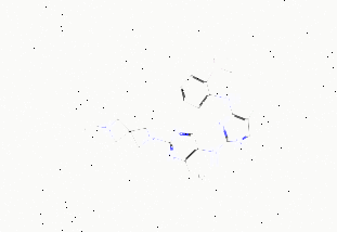 COc1nc(N2CC3(CN(C)C3)C2)ncc1Nc1ncc(Cl)c(Nc2ccccc2P(C)C)n1